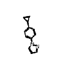 c1cnn(-c2ccc(C3CC3)cc2)c1